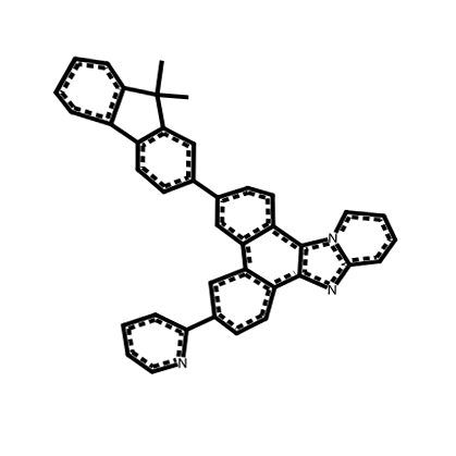 CC1(C)c2ccccc2-c2ccc(-c3ccc4c(c3)c3cc(-c5ccccn5)ccc3c3nc5ccccn5c43)cc21